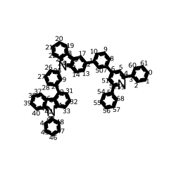 c1ccc(-c2cc(-c3cccc(-c4ccc5c(c4)c4ccccc4n5-c4cccc(-c5cccc6c5c5ccccc5n6-c5ccccc5)c4)c3)cc(-c3ccccc3)n2)cc1